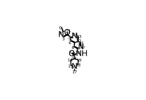 Cc1ncc(-c2cc3cc(NC(=O)C4CCN(C)CC4)ncc3cn2)o1